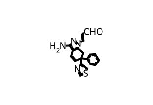 Nc1nn(C=CC=O)c2c1C=CC(c1ccccc1)(c1cscn1)C2